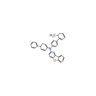 CC1CC=CC=C1c1ccc(N(C2=CCC(c3ccccc3)C=C2)c2ccc3oc4ccccc4c3c2)cc1